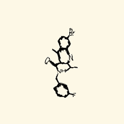 Cc1c(C(=O)NCc2cccc(F)c2)c(C(C)C)nc2cc(Br)ccc12